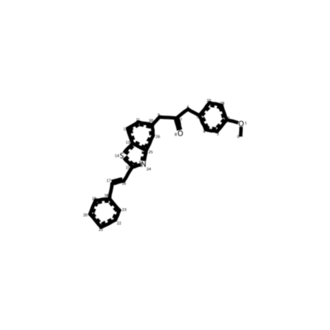 COc1ccc(CC(=O)Cc2ccc3sc(C=Cc4ccccc4)nc3c2)cc1